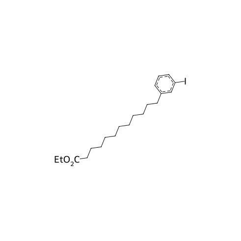 CCOC(=O)CCCCCCCCCCCc1cccc(I)c1